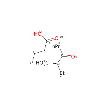 CCCC(=O)C(CC)C(=O)O.CCCC(=O)O